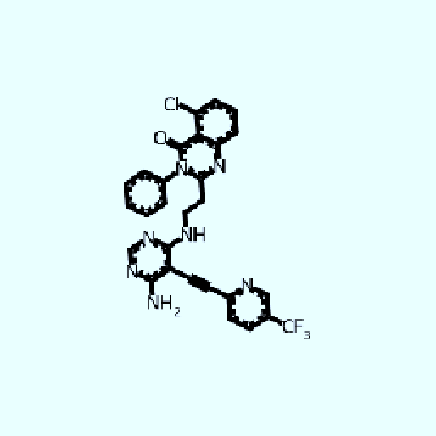 Nc1ncnc(NCCc2nc3cccc(Cl)c3c(=O)n2-c2ccccc2)c1C#Cc1ccc(C(F)(F)F)cn1